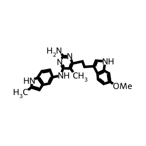 COc1ccc2c(CCc3nc(N)nc(Nc4ccc5[nH]c(C)cc5c4)c3C)c[nH]c2c1